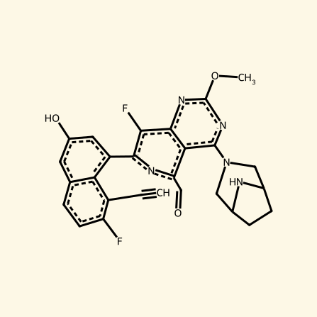 C#Cc1c(F)ccc2cc(O)cc(-c3nc(C=O)c4c(N5CC6CCC(C5)N6)nc(OC)nc4c3F)c12